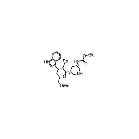 COCCCC(c1c[nH]c2ccccc12)N(C(=O)[C@H]1CNC[C@H](NC(=O)OC(C)(C)C)C1)C1CC1